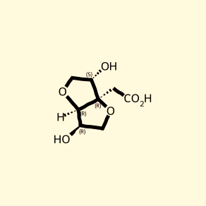 O=C(O)C[C@]12OC[C@@H](O)[C@H]1OC[C@@H]2O